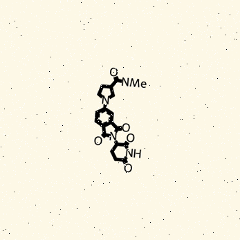 CNC(=O)C1CCN(c2ccc3c(c2)C(=O)N(C2CCC(=O)NC2=O)C3=O)C1